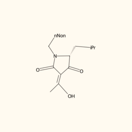 CCCCCCCCCCN1C(=O)C(=C(C)O)C(=O)[C@H]1CC(C)C